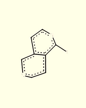 Ic1nccc2cnccc12